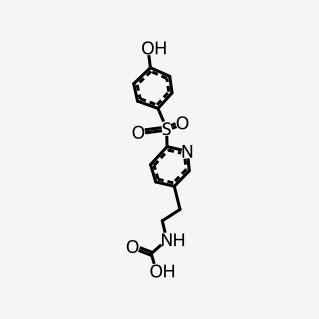 O=C(O)NCCc1ccc(S(=O)(=O)c2ccc(O)cc2)nc1